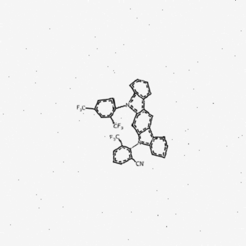 N#Cc1cccc(C(F)(F)F)c1-n1c2ccccc2c2cc3c4ccccc4n(-c4ccc(C(F)(F)F)cc4C(F)(F)F)c3cc21